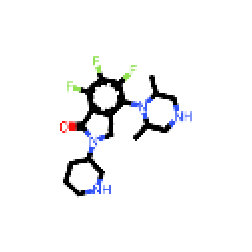 CC1CNCC(C)N1c1c(F)c(F)c(F)c2c1CN(C1CCCNC1)C2=O